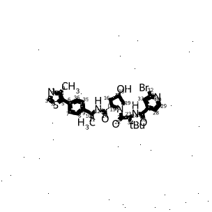 Cc1ncsc1-c1ccc(C(C)NC(=O)[C@@H]2C[C@@H](O)CN2C(=O)C(NC(=O)c2ccnc(Br)c2)C(C)(C)C)cc1